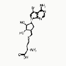 Nc1ncnc2c1c(Br)cn2[C@@H]1CC(CSCC[C@H](N)C(=O)O)[C@@H](O)[C@H]1O